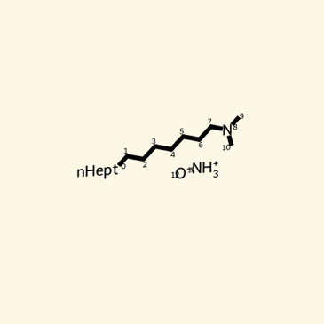 CCCCCCCCCCCCCCN(C)C.[NH3+][O-]